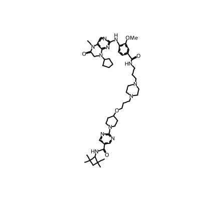 COc1cc(C(=O)NCCCN2CCN(CCCOC3CCN(c4ncc(C(=O)NC5C(C)(C)CC5(C)C)cn4)CC3)CC2)ccc1Nc1ncc2c(n1)N(C1CCCC1)CC(=O)N2C